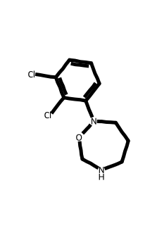 Clc1cccc(N2CCCNCO2)c1Cl